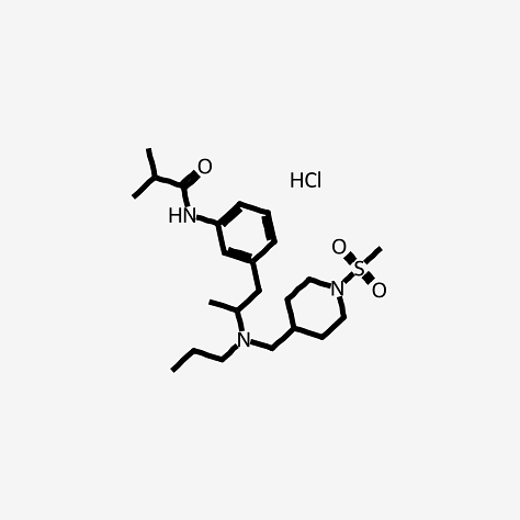 CCCN(CC1CCN(S(C)(=O)=O)CC1)C(C)Cc1cccc(NC(=O)C(C)C)c1.Cl